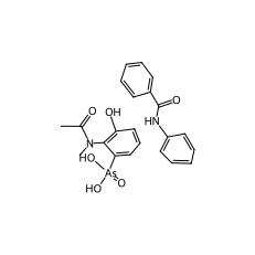 CC(=O)N(C)c1c(O)cccc1[As](=O)(O)O.O=C(Nc1ccccc1)c1ccccc1